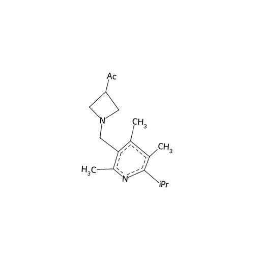 CC(=O)C1CN(Cc2c(C)nc(C(C)C)c(C)c2C)C1